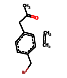 C=C.CC(=O)Cc1ccc(CBr)cc1